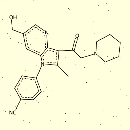 Cc1c(C(=O)CN2CCCCC2)c2ncc(CO)cc2n1-c1ccc(C#N)cc1